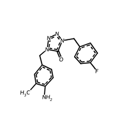 Cc1cc(Cn2nnn(Cc3ccc(F)cc3)c2=O)ccc1N